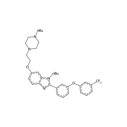 CCCCN1CCN(CCOc2ccc3nc(-c4cccc(Oc5cccc(C(F)(F)F)c5)c4)n(CCCC)c3c2)CC1